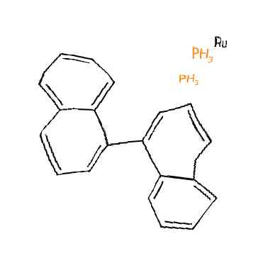 P.P.[Ru].c1ccc2c(-c3cccc4ccccc34)cccc2c1